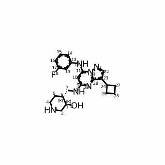 O[C@H]1CNCC[C@@H]1CNc1cc(Nc2cccc(F)c2)n2ncc(C3CCC3)c2n1